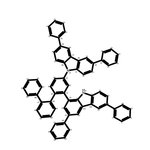 c1ccc(-c2ccc3[nH]c4c(-c5cc(-n6c7ccc(-c8ccccc8)cc7c7cc(-c8ccccc8)ccc76)ccc5-c5ccccc5-c5ccccc5)cc(-c5ccccc5)cc4c3c2)cc1